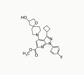 COC(=O)c1cc(N2CCC3(CC2)CC(O)CO3)c2c(C3CCC3)nn(-c3ccc(F)cc3)c2n1